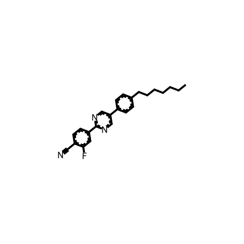 CCCCCCCc1ccc(-c2cnc(-c3ccc(C#N)c(F)c3)nc2)cc1